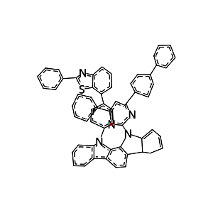 C1=CCC2C(=C1)N(c1nc(-c3ccccc3)cc(-c3ccc(-c4ccccc4)cc3)n1)c1c2ccc2c3ccccc3n(-c3ccc(-c4cccc5nc(-c6ccccc6)sc45)cc3)c12